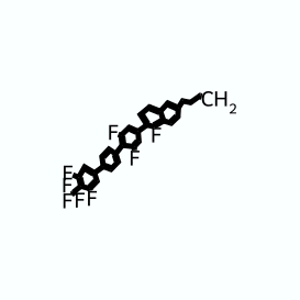 C=CCCc1ccc2c(F)c(-c3cc(F)c(-c4ccc(-c5cc(F)c(C(F)(F)F)c(F)c5)cc4)c(F)c3)ccc2c1